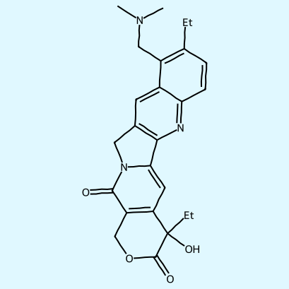 CCc1ccc2nc3c(cc2c1CN(C)C)Cn1c-3cc2c(c1=O)COC(=O)C2(O)CC